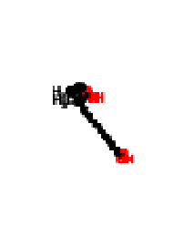 CC(c1ccccc1)C(C)C(CCCCCCCCCCCCCCCCCCCC(=O)O)CCC(=O)O